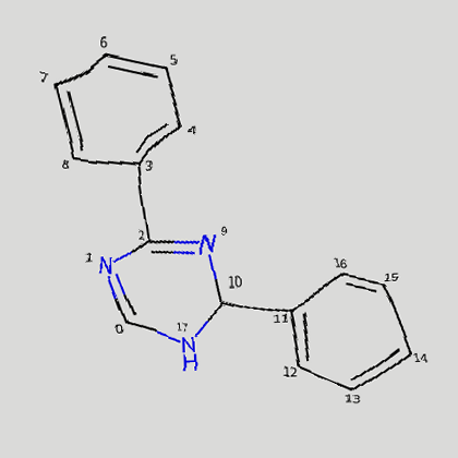 C1=NC(c2ccccc2)=NC(c2ccccc2)N1